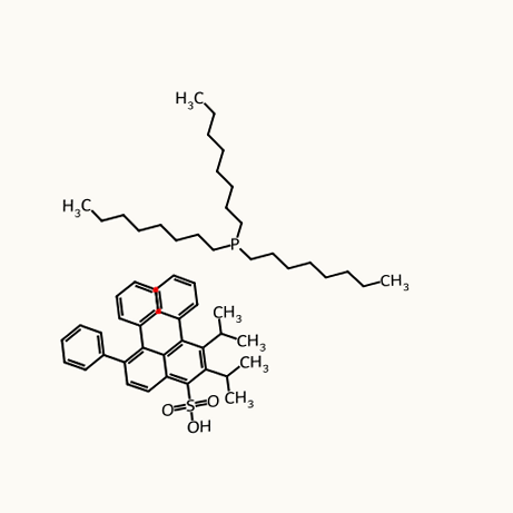 CC(C)c1c(C(C)C)c(-c2ccccc2)c2c(-c3ccccc3)c(-c3ccccc3)ccc2c1S(=O)(=O)O.CCCCCCCCP(CCCCCCCC)CCCCCCCC